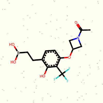 CC(=O)N1CC(Oc2ccc(CCB(O)O)c(O)c2C(F)(F)F)C1